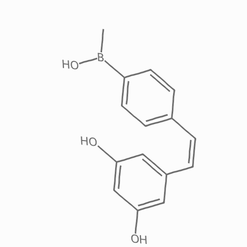 CB(O)c1ccc(/C=C\c2cc(O)cc(O)c2)cc1